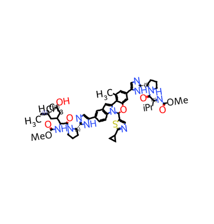 C/C=C(/C)CC(C[C@H](C)O)C(NC(=O)OC)C(=O)N1CCC[C@H]1c1ncc(-c2ccc3c(c2)cc2n3C(c3cnc(C4CC4)s3)Oc3cc(-c4cnc([C@@H]5CCCN5C(=O)[C@@H](NC(=O)OC)C(C)C)[nH]4)cc(C)c3-2)[nH]1